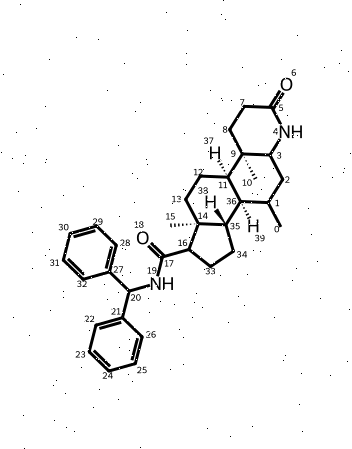 CC1CC2NC(=O)CC[C@]2(C)[C@@H]2CC[C@]3(C)C(C(=O)NC(c4ccccc4)c4ccccc4)CC[C@H]3[C@H]12